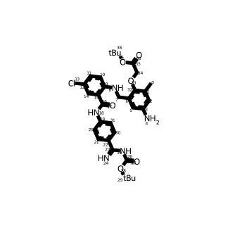 Cc1cc(N)cc(CNc2ccc(Cl)cc2C(=O)Nc2ccc(C(=N)NC(=O)OC(C)(C)C)cc2)c1OCC(=O)OC(C)(C)C